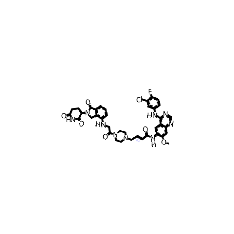 COc1cc2ncnc(Nc3ccc(F)c(Cl)c3)c2cc1NC(=O)/C=C/CN1CCN(C(=O)CNc2cccc3c2CN(C2CCC(=O)NC2=O)C3=O)CC1